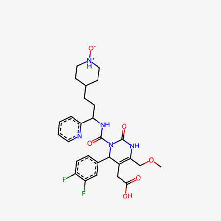 COCC1=C(CC(=O)O)C(c2ccc(F)c(F)c2)N(C(=O)NC(CCC2CC[NH+]([O-])CC2)c2ccccn2)C(=O)N1